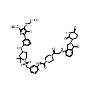 CC1(C)C[C@@H](Nc2cccc(-c3sc(C(=O)O)c(OCC(=O)O)c3Cl)c2)CCN1S(=O)(=O)Cc1cccc(NC(=O)N2CCN(C(=O)CNc3cccc4c3CN(C3CCC(=O)NC3=O)C4=O)CC2)c1